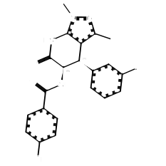 Cc1nn(C)c2c1[C@@H](c1cccc(F)c1)[C@@H](NC(=O)c1ccc(Cl)cc1)C(=O)N2